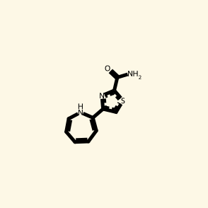 NC(=O)c1nc(C2=CC=CC=CN2)cs1